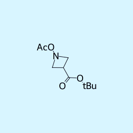 CC(=O)ON1CC(C(=O)OC(C)(C)C)C1